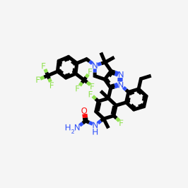 CCc1cccc2c1-n1nc3c(c1C1(C)C(F)=CC(C)(NC(N)=O)C(F)=C21)CN(Cc1ccc(C(F)(F)F)cc1C(F)(F)F)C3(C)C